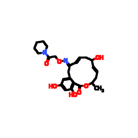 C[C@@H]1C/C=C/[C@H](O)C/C=C/C(=NOCC(=O)N2CCCCC2)Cc2cc(O)cc(O)c2C(=O)O1